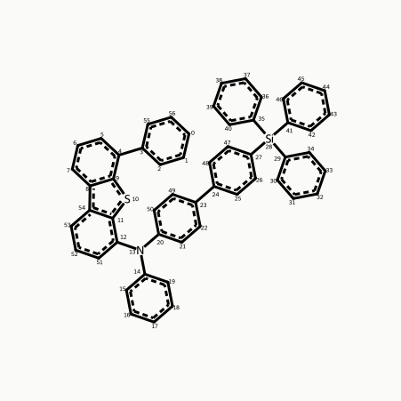 c1ccc(-c2cccc3c2sc2c(N(c4ccccc4)c4ccc(-c5ccc([Si](c6ccccc6)(c6ccccc6)c6ccccc6)cc5)cc4)cccc23)cc1